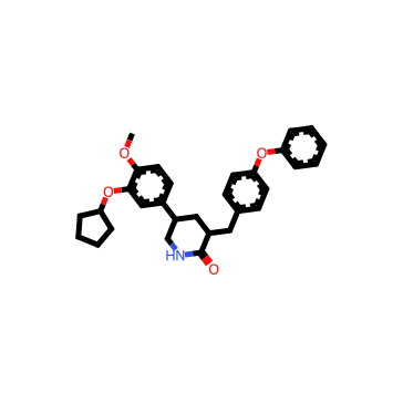 COc1ccc(C2CNC(=O)C(Cc3ccc(Oc4ccccc4)cc3)C2)cc1OC1CCCC1